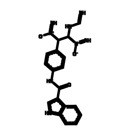 N=CNC(C(c1ccc(NC(=O)c2c[nH]c3ccccc23)cc1)[N+](=N)[O-])[N+](=N)[O-]